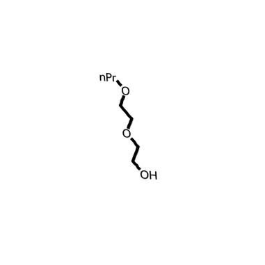 [CH2]CCOCCOCCO